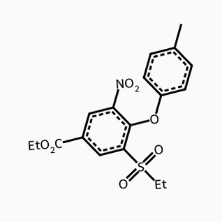 CCOC(=O)c1cc([N+](=O)[O-])c(Oc2ccc(C)cc2)c(S(=O)(=O)CC)c1